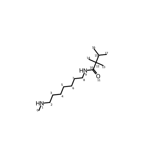 CNCCCCCCCNC(=O)C(C)(C)C(C)C